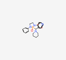 O=P1(C(c2ccncc2)N2CCCCC2)N(c2ccccc2)CCN1c1ccccc1